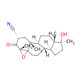 C[C@]1(O)CC[C@H]2[C@@H]3CCC45O[C@]4(C)C(=O)[C@H](C#N)C[C@]5(C)[C@H]3CC[C@@]21C